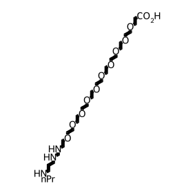 CCCNCCCNCNCCOCCOCCOCCOCCOCCOCCOCCOCCOCCOCCC(=O)O